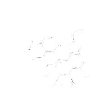 COc1nc2cc(C)c([C@@H](CO)OC(C)(C)C)c(-c3ccc4c5c(ccnc35)CCO4)c2s1